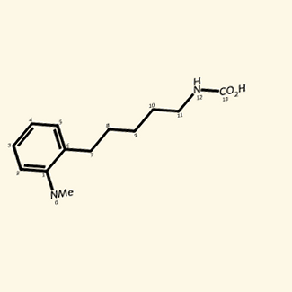 CNc1ccccc1CCCCCNC(=O)O